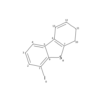 Ic1cccc2c3c(sc12)CCC=C3